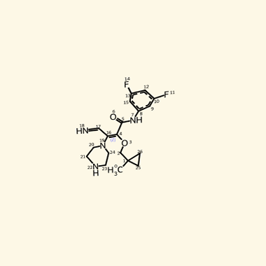 CC1(CO/C(C(=O)Nc2cc(F)cc(F)c2)=C(/C=N)N2CCNCC2)CC1